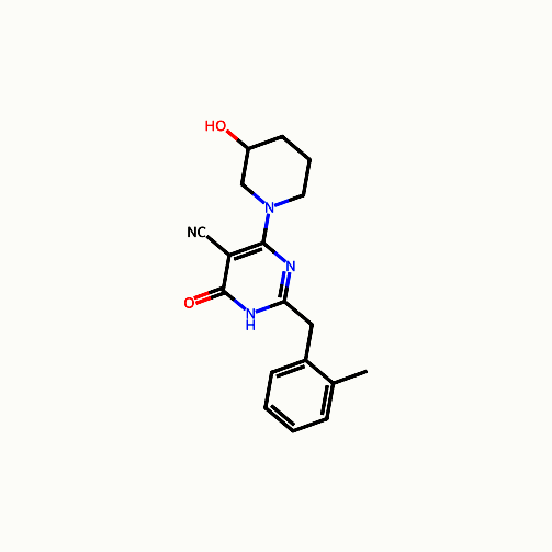 Cc1ccccc1Cc1nc(N2CCCC(O)C2)c(C#N)c(=O)[nH]1